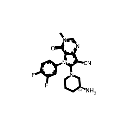 Cn1cnc2c(C#N)c(N3CCC[C@H](N)C3)n(-c3ccc(F)c(F)c3)c2c1=O